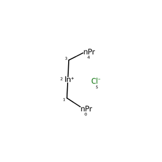 CCC[CH2][In+][CH2]CCC.[Cl-]